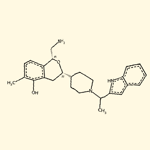 Cc1ccc2c(c1O)C[C@@H](C1CCN(C(C)c3cc4ccccc4[nH]3)CC1)O[C@H]2CN